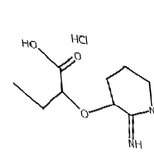 CCC(OC1CCCNC1=N)C(=O)O.Cl